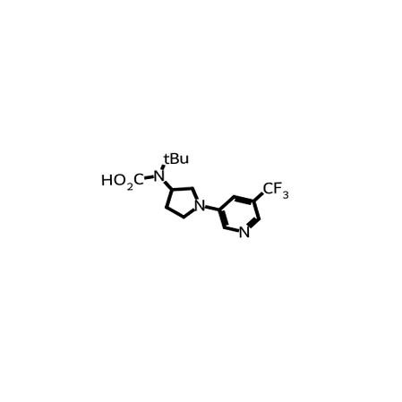 CC(C)(C)N(C(=O)O)C1CCN(c2cncc(C(F)(F)F)c2)C1